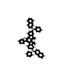 CC1(C)c2cc(N(c3ccccc3)c3ccc4ccccc4c3)ccc2-c2c1c1c(c3c2oc2ccccc23)-c2ccc(N(c3ccccc3)c3ccc4ccccc4c3)cc2C1(C)C